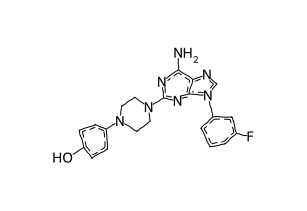 Nc1nc(N2CCN(c3ccc(O)cc3)CC2)nc2c1ncn2-c1cccc(F)c1